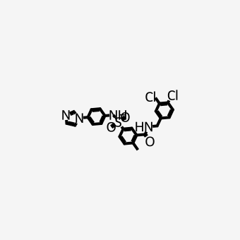 Cc1ccc(S(=O)(=O)Nc2ccc(-n3ccnc3)cc2)cc1C(=O)NCc1ccc(Cl)c(Cl)c1